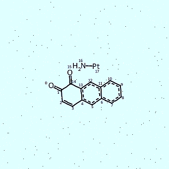 O=C1C=Cc2cc3ccccc3cc2C1=O.[NH2][Pt]